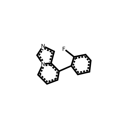 Fc1ccccc1-c1cccn2cncc12